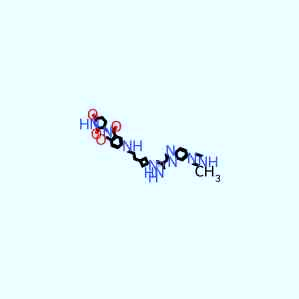 CC1CN(c2ccc3ncc(/C(C=N)=C/NC4CC(CCCNc5ccc6c(c5)C(=O)N(C5CCC(=O)NC5=O)C6=O)C4)nc3c2)CCN1